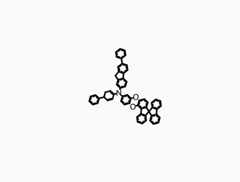 C1=CC(c2ccccc2)CC=C1N(c1ccc2c(c1)Cc1cc(-c3ccccc3)ccc1-2)c1ccc2c(c1)Oc1ccc3c(c1O2)-c1ccccc1C31c2ccccc2-c2ccccc21